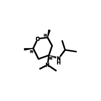 CC(C)N[C@]1(N(C)C)C[C@@H](C)O[C@@H](C)C1